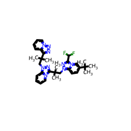 CC(C)(C)c1ccc2n(c1)c(C(F)F)n[n+]2CC(C)(C)c1n[n+](CC(C)(C)c2nnn3ccccc23)c2ccccn12